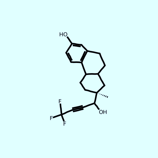 C[C@]1(C(O)C#CC(F)(F)F)CCC2c3ccc(O)cc3CCC2C1